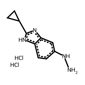 Cl.Cl.NNc1ccc2[nH]c(C3CC3)nc2c1